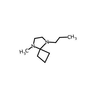 CCCN1CCN(C)C12CCC2